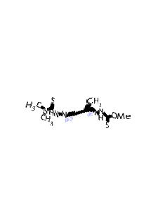 COC(=S)N/N=C(C)/C=N/NC(=S)N(C)C